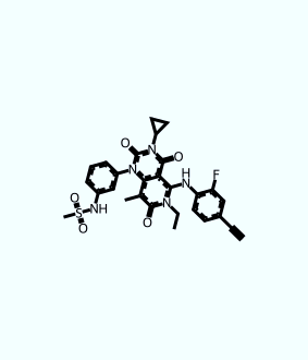 C#Cc1ccc(Nc2c3c(=O)n(C4CC4)c(=O)n(-c4cccc(NS(C)(=O)=O)c4)c3c(C)c(=O)n2CC)c(F)c1